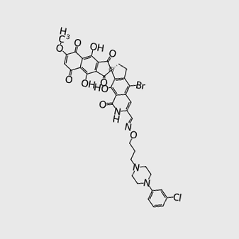 COC1=CC(=O)c2c(O)c3c(c(O)c2C1=O)C(=O)[C@]1(CCc2c1c(O)c1c(=O)[nH]c(C=NOCCCN4CCN(c5cccc(Cl)c5)CC4)cc1c2Br)C3=O